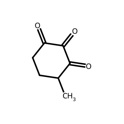 CC1CCC(=O)C(=O)C1=O